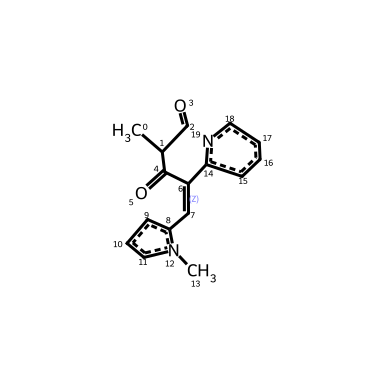 CC(C=O)C(=O)/C(=C\c1cccn1C)c1ccccn1